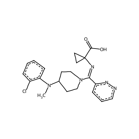 CN(c1ccccc1Cl)C1CCN(C(=NC2(C(=O)O)CC2)c2cccnn2)CC1